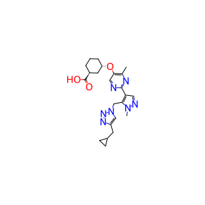 Cc1nc(-c2cnn(C)c2Cn2cc(CC3CC3)nn2)ncc1O[C@H]1CCC[C@H](C(=O)O)C1